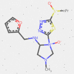 CCC[S+]([O-])c1nnc([N+]2([O-])CN(C)CC2NCc2ccco2)s1